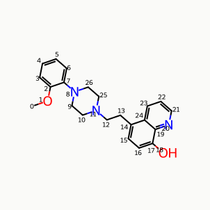 COc1ccccc1N1CCN(CCc2ccc(O)c3ncccc23)CC1